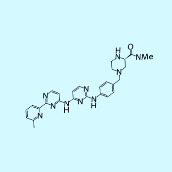 CNC(=O)[C@H]1CN(Cc2ccc(Nc3nccc(Nc4ccnc(-c5cccc(C)n5)n4)n3)cc2)CCN1